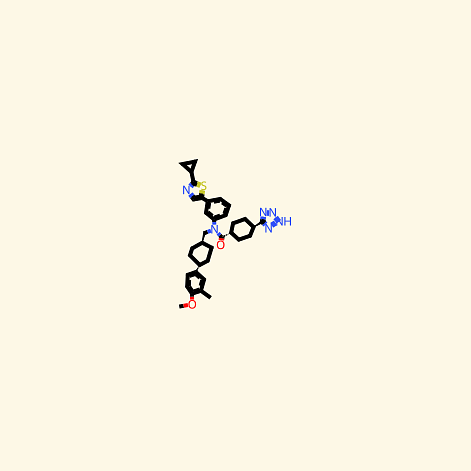 COc1ccc([C@H]2CC[C@H](CN(c3cccc(-c4cnc(C5CC5)s4)c3)C(=O)[C@H]3CC[C@H](c4nn[nH]n4)CC3)CC2)cc1C